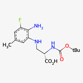 Cc1cc(F)c(N)c(NC[C@H](NC(=O)OC(C)(C)C)C(=O)O)c1